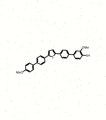 COc1ccc(-c2ccc(-c3ccc(-c4ccc(-c5ccc(S)c(OC)c5)cc4)s3)cc2)cc1